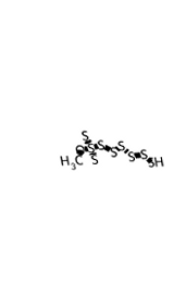 COS(=S)(=S)SSSSSS